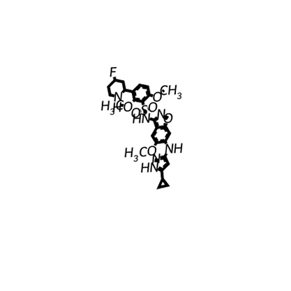 COc1cc2c(NS(=O)(=O)c3c(OC)ccc(C4CC(F)CCN4)c3OC)noc2cc1Nc1cc(C2CC2)[nH]n1